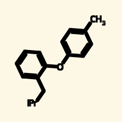 Cc1ccc(Oc2ccccc2CC(C)C)cc1